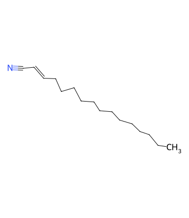 CCCCCCCCCCCCCC=CC#N